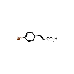 O=C(O)C=CC1C=CC(Br)=CC1